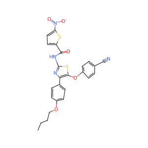 CCCCOc1ccc(-c2nc(NC(=O)c3ccc([N+](=O)[O-])s3)sc2Oc2ccc(C#N)cc2)cc1